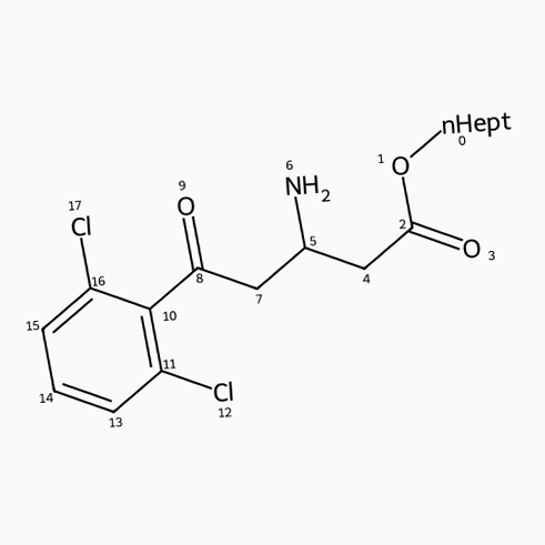 CCCCCCCOC(=O)CC(N)CC(=O)c1c(Cl)cccc1Cl